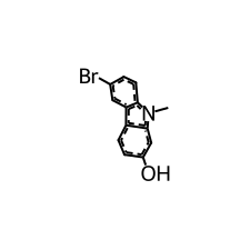 Cn1c2ccc(Br)cc2c2ccc(O)cc21